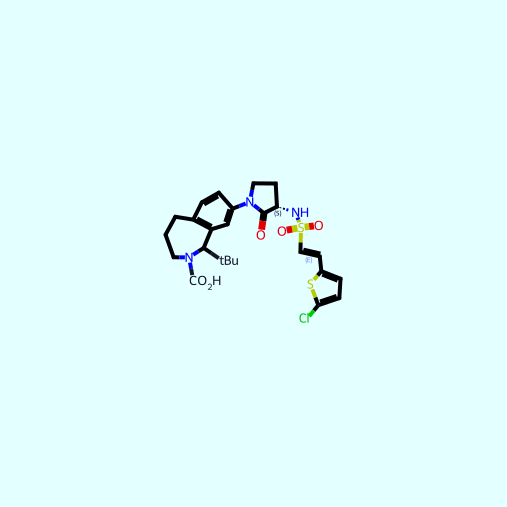 CC(C)(C)C1c2cc(N3CC[C@H](NS(=O)(=O)/C=C/c4ccc(Cl)s4)C3=O)ccc2CCCN1C(=O)O